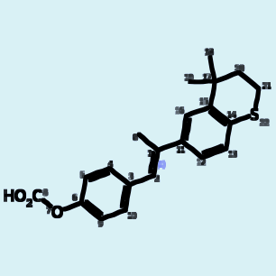 C/C(=C\c1ccc(OC(=O)O)cc1)c1ccc2c(c1)C(C)(C)CCS2